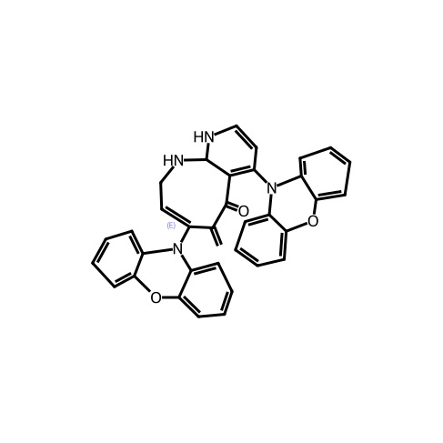 C=C1C(=O)C2=C(N3c4ccccc4Oc4ccccc43)C=CNC2NC/C=C\1N1c2ccccc2Oc2ccccc21